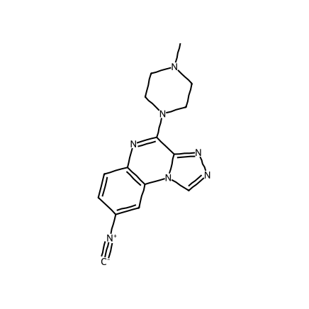 [C-]#[N+]c1ccc2nc(N3CCN(C)CC3)c3nncn3c2c1